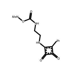 CNOC(=O)NCCNc1c(C(C)C)c(=O)c1=O